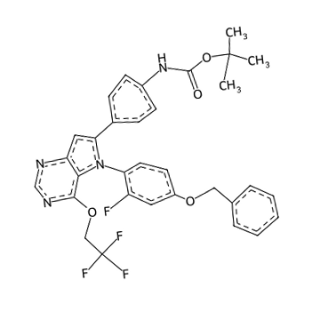 CC(C)(C)OC(=O)Nc1ccc(-c2cc3ncnc(OCC(F)(F)F)c3n2-c2ccc(OCc3ccccc3)cc2F)cc1